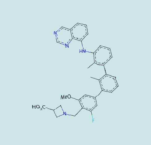 COc1cc(-c2cccc(-c3cccc(Nc4cccc5cncnc45)c3C)c2C)cc(F)c1CN1CC(C(=O)O)C1